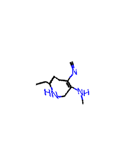 C=NC1=C(NC)CNC(C)C1